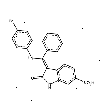 O=C1Nc2cc(C(=O)O)ccc2/C1=C(/Nc1ccc(Br)cc1)c1ccccc1